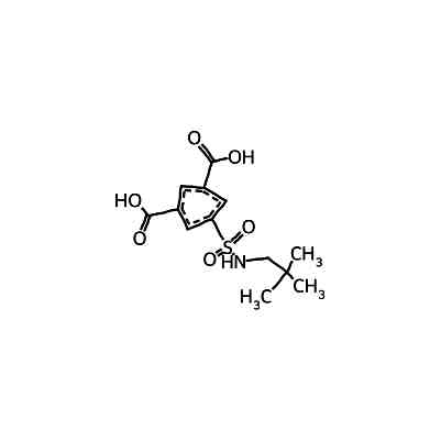 CC(C)(C)CNS(=O)(=O)c1cc(C(=O)O)cc(C(=O)O)c1